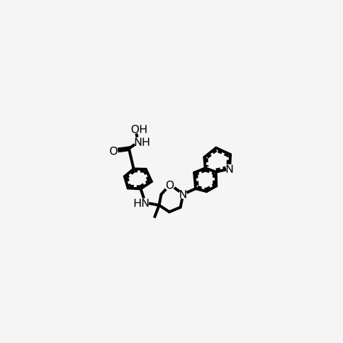 CC1(Nc2ccc(C(=O)NO)cc2)CCN(c2ccc3ncccc3c2)OC1